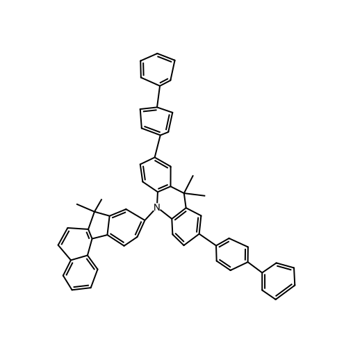 CC1(C)c2cc(-c3ccc(-c4ccccc4)cc3)ccc2N(c2ccc3c(c2)C(C)(C)c2ccc4ccccc4c2-3)c2ccc(-c3ccc(-c4ccccc4)cc3)cc21